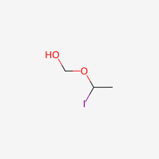 CC(I)OCO